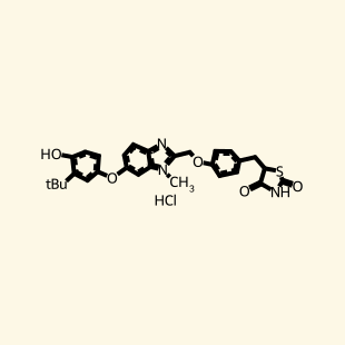 Cl.Cn1c(COc2ccc(CC3SC(=O)NC3=O)cc2)nc2ccc(Oc3ccc(O)c(C(C)(C)C)c3)cc21